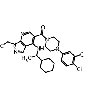 CCn1ncc2c(N[C@H](C)C3CCCCC3)c(C(=O)N3CCN(c4ccc(Cl)c(Cl)c4)CC3)cnc21